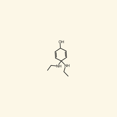 CCNC1(NCC)C=CC(O)C=C1